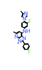 Cc1cn(-c2ccc(Nc3cc(C)nc4c3nc(-c3ccc(F)cc3)n4C)cc2F)cn1